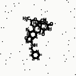 C[C@@H]1CN2c3c(cc4c(NCc5ccccn5)noc4c3F)CC3(C(=O)NC(=O)NC3=O)[C@H]2[C@@H](C)O1